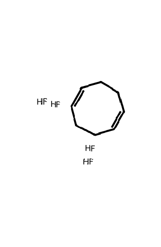 C1=CCCC=CCC1.F.F.F.F